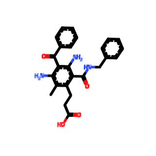 Cc1c(N)c(C(=O)c2ccccc2)c(N)c(C(=O)NCc2ccccc2)c1CCC(=O)O